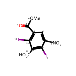 COC(=O)c1cc([N+](=O)[O-])c(I)c(C(=O)O)c1I